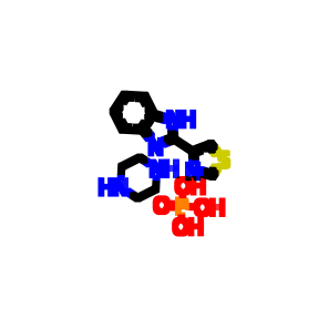 C1CNCCN1.O=P(O)(O)O.c1ccc2[nH]c(-c3cscn3)nc2c1